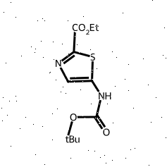 CCOC(=O)c1ncc(NC(=O)OC(C)(C)C)s1